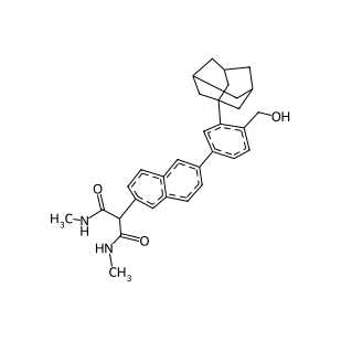 CNC(=O)C(C(=O)NC)c1ccc2cc(-c3ccc(CO)c(C45CC6CC(CC(C6)C4)C5)c3)ccc2c1